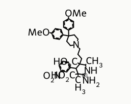 COc1ccc(C2(c3ccc(OC)cc3)CCN(CCCC3(C(=O)O)C(C)N[C@@H](N)C(C)(C(=O)O)C3c3cccc([N+](=O)[O-])c3)CC2)cc1